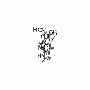 CO[C@@H]1[C@H](O)[C@@H](CO)O[C@H]1n1cnc2c(NC(C)=O)ncnc21